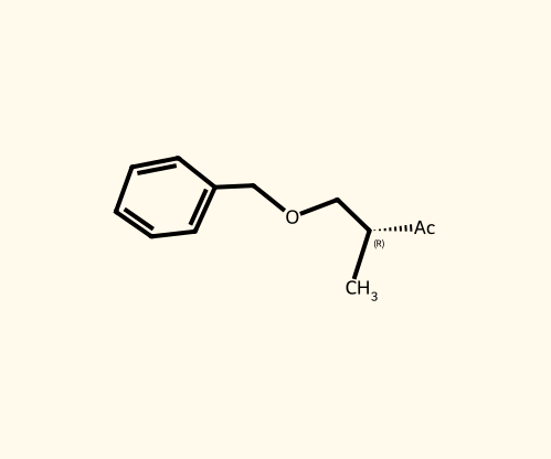 CC(=O)[C@H](C)COCc1ccccc1